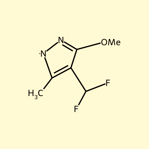 COC1=N[N]C(C)=C1C(F)F